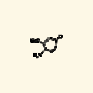 COc1cc([O])ccc1N